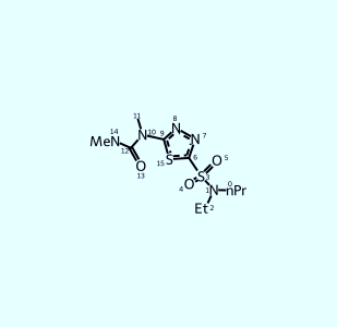 CCCN(CC)S(=O)(=O)c1nnc(N(C)C(=O)NC)s1